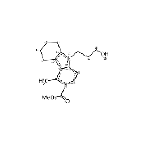 COC(=O)c1ccc2c(c1C)c1c(n2CCCO)CCCC1